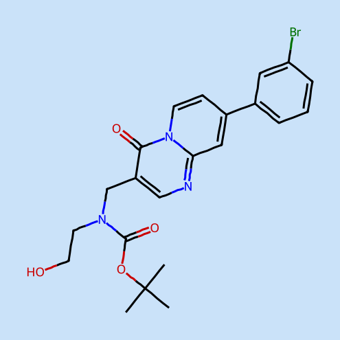 CC(C)(C)OC(=O)N(CCO)Cc1cnc2cc(-c3cccc(Br)c3)ccn2c1=O